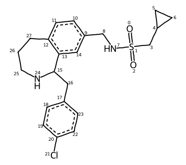 O=S(=O)(CC1CC1)NCc1ccc2c(c1)C(Cc1ccc(Cl)cc1)NCCC2